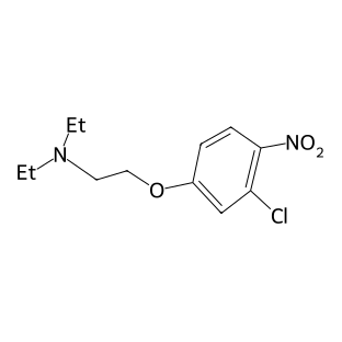 CCN(CC)CCOc1ccc([N+](=O)[O-])c(Cl)c1